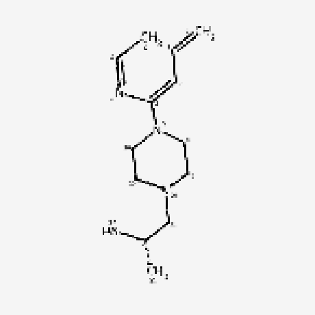 C=C/C=C(\N=C/C)N1CCN(C[C@H](C)S)CC1